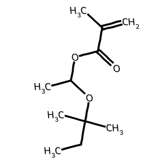 C=C(C)C(=O)OC(C)OC(C)(C)CC